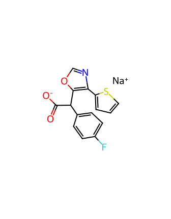 O=C([O-])C(c1ccc(F)cc1)c1ocnc1-c1cccs1.[Na+]